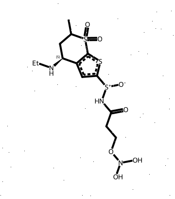 CCN[C@H]1CC(C)S(=O)(=O)c2sc([S+]([O-])NC(=O)CCON(O)O)cc21